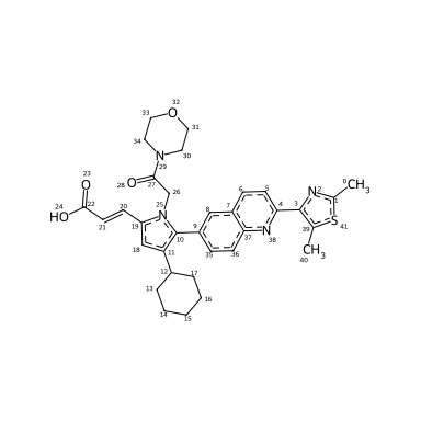 Cc1nc(-c2ccc3cc(-c4c(C5CCCCC5)cc(C=CC(=O)O)n4CC(=O)N4CCOCC4)ccc3n2)c(C)s1